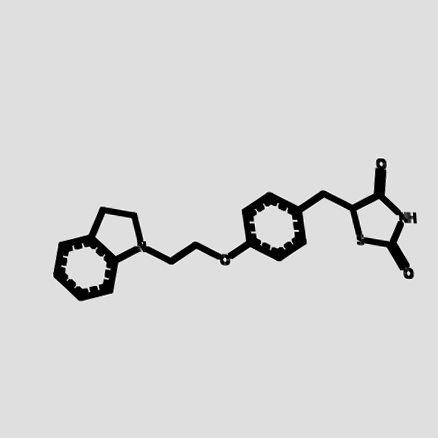 O=C1NC(=O)C(Cc2ccc(OCCN3CCc4ccccc43)cc2)S1